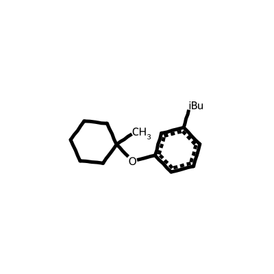 CCC(C)c1cccc(OC2(C)CCCCC2)c1